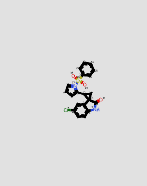 O=C1Nc2ccc(Cl)cc2C12CC2c1cccn1S(=O)(=O)c1ccccc1